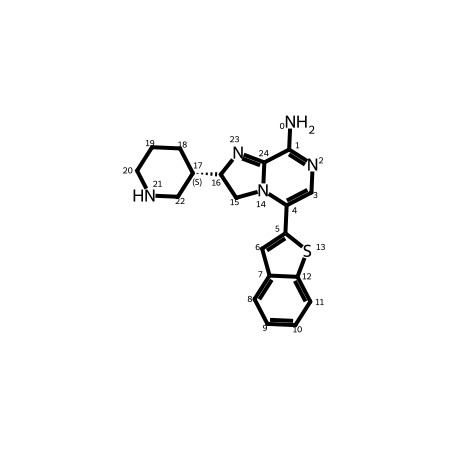 NC1=NC=C(c2cc3ccccc3s2)N2CC([C@H]3CCCNC3)N=C12